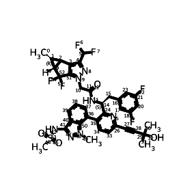 C[C@@H]1C2c3c(C(F)F)nn(CC(=O)N[C@@H](Cc4cc(F)cc(F)c4)c4nc(C#CC(C)(C)O)ccc4-c4cccc5c(NS(C)(=O)=O)nn(C)c45)c3C(F)(F)[C@@H]21